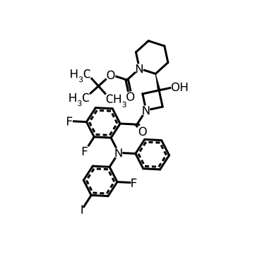 CC(C)(C)OC(=O)N1CCCC[C@H]1C1(O)CN(C(=O)c2ccc(F)c(F)c2N(c2ccccc2)c2ccc(I)cc2F)C1